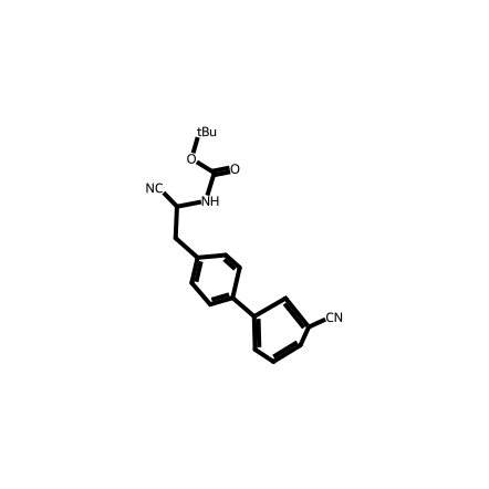 CC(C)(C)OC(=O)NC(C#N)Cc1ccc(-c2cccc(C#N)c2)cc1